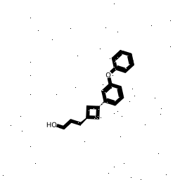 OCCC[C@H]1C[C@H](c2cccc(Oc3ccccc3)c2)C1